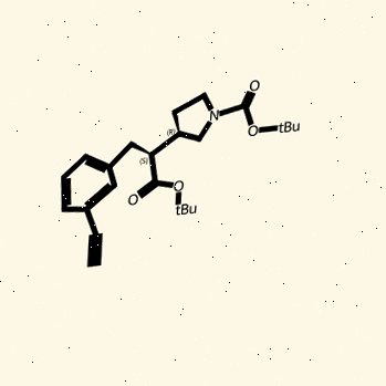 C#Cc1cccc(C[C@H](C(=O)OC(C)(C)C)[C@H]2CCN(C(=O)OC(C)(C)C)C2)c1